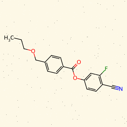 CCCOCc1ccc(C(=O)Oc2ccc(C#N)c(F)c2)cc1